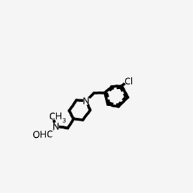 CN(C=O)CC1CCN(Cc2cccc(Cl)c2)CC1